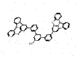 N#Cc1cc(-c2cccc(-c3cc4c5c(c3)c3ccccc3n5-c3ccccc3O4)c2)cc(-c2cccc(-c3cc4c5c(c3)c3ccccc3n5-c3ccccc3O4)c2)c1